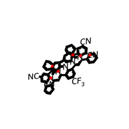 N#Cc1cc(C#N)cc(-c2ccc3c4ccc(-c5cc(C#N)cc(C#N)c5)cc4n(-c4c(-c5cc(-c6ccccc6)nc(-c6ccccc6)n5)cc(C(F)(F)F)cc4-c4cc(-c5ccccc5)nc(-c5ccccc5)n4)c3c2)c1